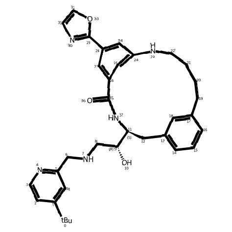 CC(C)(C)c1ccnc(CNC[C@@H](O)[C@@H]2Cc3cccc(c3)CCCCNc3cc(cc(-c4ncco4)c3)C(=O)N2)c1